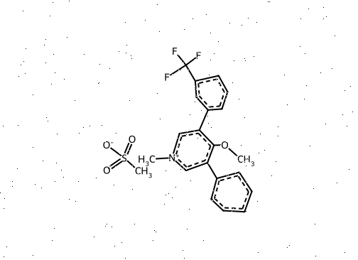 COc1c(-c2ccccc2)c[n+](C)cc1-c1cccc(C(F)(F)F)c1.CS(=O)(=O)[O-]